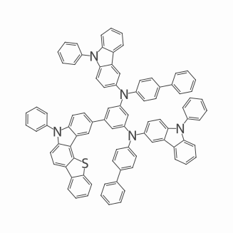 c1ccc(-c2ccc(N(c3cc(-c4ccc5c(c4)c4c6sc7ccccc7c6ccc4n5-c4ccccc4)cc(N(c4ccc(-c5ccccc5)cc4)c4ccc5c(c4)c4ccccc4n5-c4ccccc4)c3)c3ccc4c(c3)c3ccccc3n4-c3ccccc3)cc2)cc1